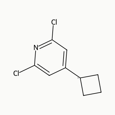 Clc1cc([C]2CCC2)cc(Cl)n1